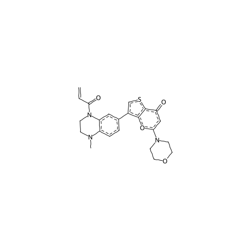 C=CC(=O)N1CCN(C)c2ccc(-c3csc4c(=O)cc(N5CCOCC5)oc34)cc21